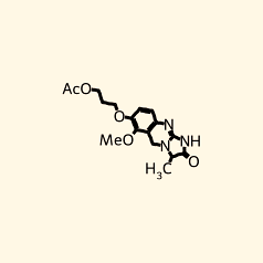 COc1c(OCCCOC(C)=O)ccc2c1CN1C(=N2)NC(=O)C1C